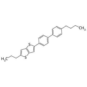 CCCCc1ccc(-c2ccc(-c3cc4sc(CCC)cc4s3)cc2)cc1